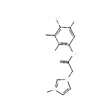 C[n+]1ccn(CC(=O)Nc2cc(Cl)c(N)c(Cl)c2O)c1.[Cl-]